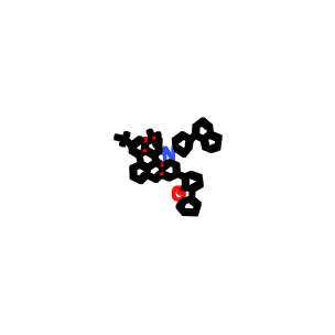 CC(C)(C)c1cc(-c2cccc3cccc(-c4ccccc4N(c4ccc(-c5cccc6ccccc56)cc4)c4cccc(-c5cccc6c5oc5ccccc56)c4)c23)cc(C(C)(C)C)c1